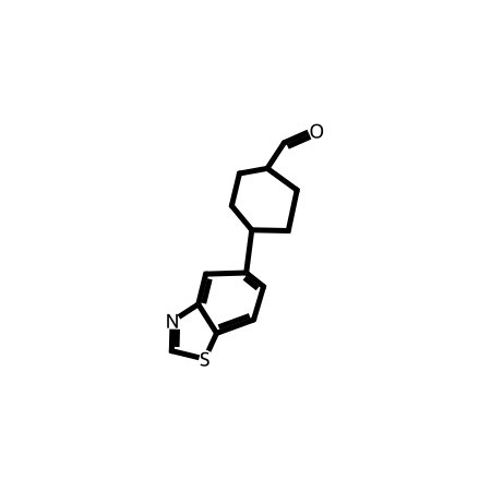 O=CC1CCC(c2ccc3scnc3c2)CC1